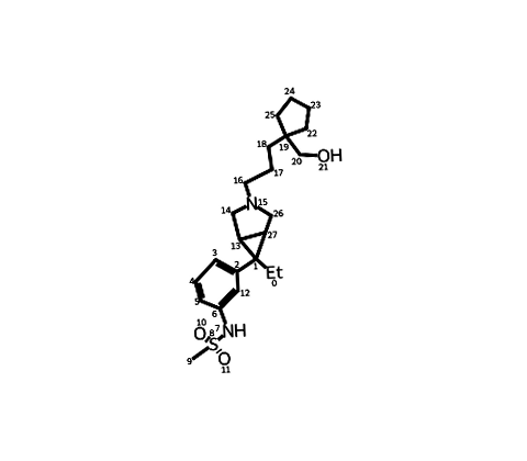 CCC1(c2cccc(NS(C)(=O)=O)c2)C2CN(CCCC3(CO)CCCC3)CC21